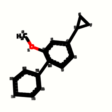 COc1[c]c(C2CC2)ccc1-c1ccccc1